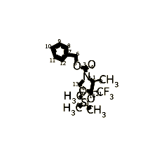 C[C@@H]1N(C(=O)OCc2ccccc2)CO[C@@]1(O[Si](C)(C)C)C(F)(F)F